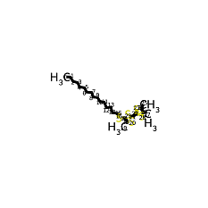 CCCCCCCCCCCCCCCCSC1=C(C)SC(=C2SC(C)=C(C)S2)S1